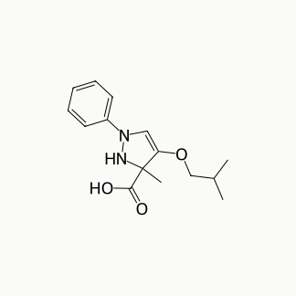 CC(C)COC1=CN(c2ccccc2)NC1(C)C(=O)O